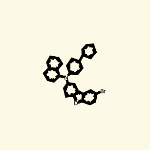 Brc1ccc2oc3ccc(N(c4ccc(-c5ccccc5)cc4)c4cccc5ccccc45)cc3c2c1